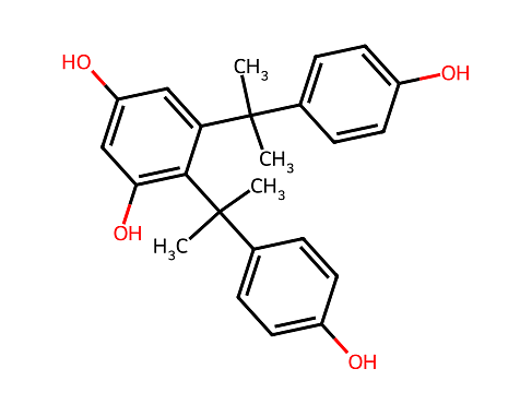 CC(C)(c1ccc(O)cc1)c1cc(O)cc(O)c1C(C)(C)c1ccc(O)cc1